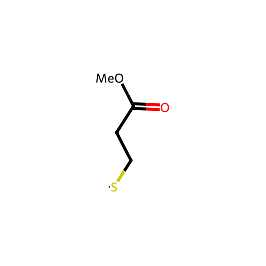 COC(=O)CC[S]